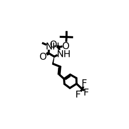 CNC(=O)[C@H](C/C=C/C1=CCC(C(F)(F)F)CC1)NC(=O)OC(C)(C)C